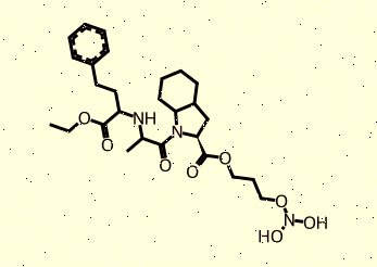 CCOC(=O)C(CCc1ccccc1)NC(C)C(=O)N1C2CCCCC2C[C@H]1C(=O)OCCCON(O)O